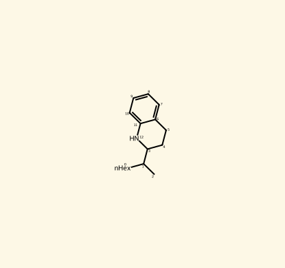 CCCCCCC(C)C1CCc2ccccc2N1